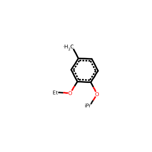 [CH2]c1ccc(OC(C)C)c(OCC)c1